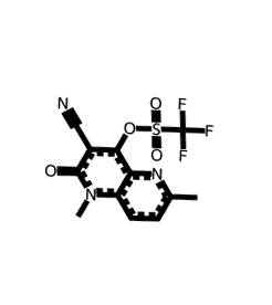 Cc1ccc2c(n1)c(OS(=O)(=O)C(F)(F)F)c(C#N)c(=O)n2C